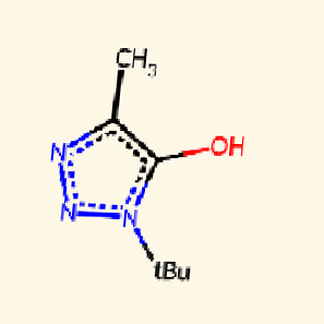 Cc1nnn(C(C)(C)C)c1O